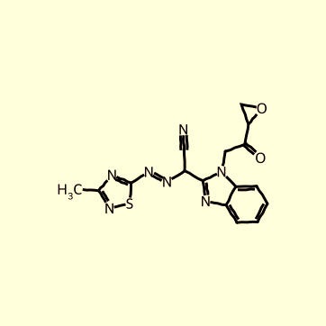 Cc1nsc(/N=N/C(C#N)c2nc3ccccc3n2CC(=O)C2CO2)n1